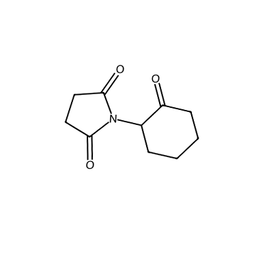 O=C1CCCCC1N1C(=O)CCC1=O